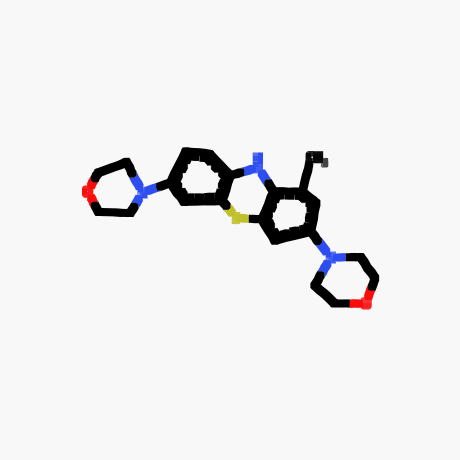 Cc1cc(N2CCOCC2)cc2c1Nc1ccc(N3CCOCC3)cc1S2